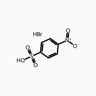 Br.O=[N+]([O-])c1ccc(S(=O)(=O)O)cc1